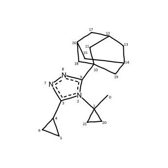 CC1(n2c(C3CC3)nnc2C23CC4CC(CC(C4)C2)C3)CC1